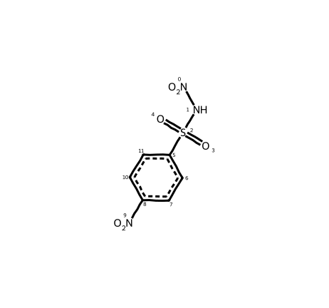 O=[N+]([O-])NS(=O)(=O)c1ccc([N+](=O)[O-])cc1